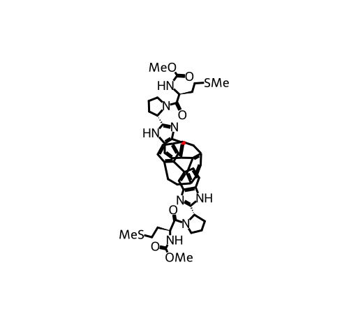 COC(=O)N[C@@H](CCSC)C(=O)N1CCC[C@H]1c1nc2cc(-c3cc4ccc3CCc3ccc(c(-c5ccc6[nH]c([C@@H]7CCCN7C(=O)[C@H](CCSC)NC(=O)OC)nc6c5)c3)CC4)ccc2[nH]1